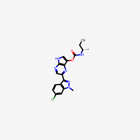 C[C@@H](CC#N)NC(=O)Oc1c[nH]c2ncc(-c3nn(C)c4cc(Cl)ccc34)nc12